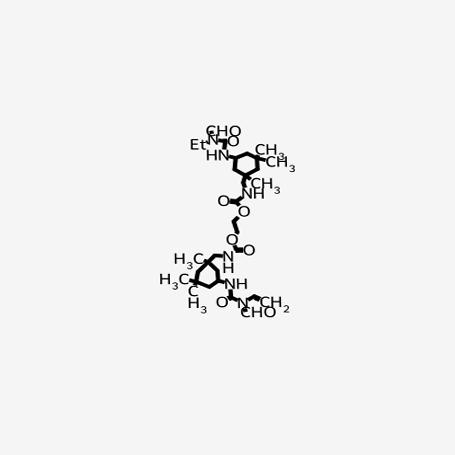 C=CN(C=O)C(=O)NC1CC(C)(C)CC(C)(CNC(=O)OCCOC(=O)NCC2(C)CC(NC(=O)N(C=O)CC)CC(C)(C)C2)C1